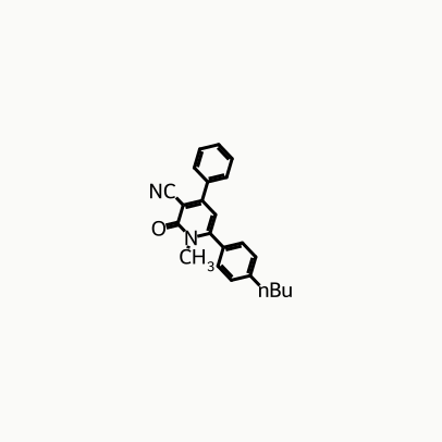 CCCCc1ccc(-c2cc(-c3ccccc3)c(C#N)c(=O)n2C)cc1